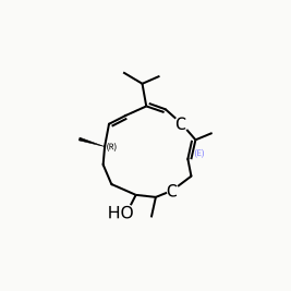 C/C1=C\CCC(C)C(O)CC[C@@H](C)C=CC(C(C)C)=CC1